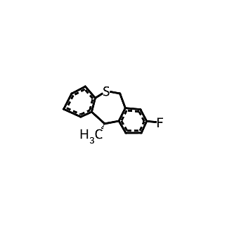 C[C@H]1c2ccc(F)cc2CSc2ccccc21